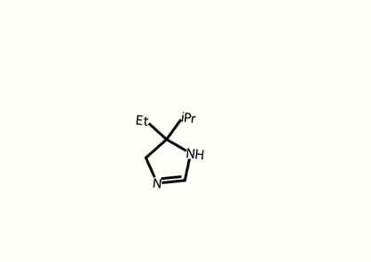 CCC1(C(C)C)CN=CN1